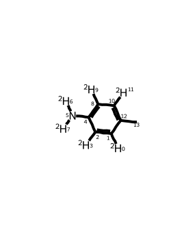 [2H]c1c([2H])c(N([2H])[2H])c([2H])c([2H])c1C